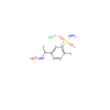 Cc1ccc(C(C)NO)cc1S(N)(=O)=O.Cl